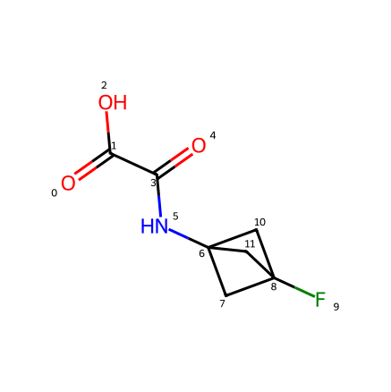 O=C(O)C(=O)NC12CC(F)(C1)C2